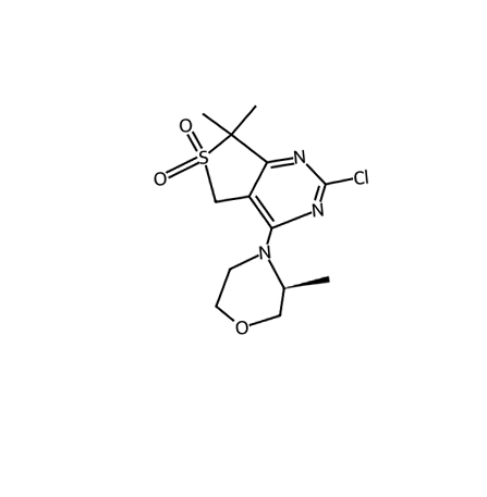 C[C@H]1COCCN1c1nc(Cl)nc2c1CS(=O)(=O)C2(C)C